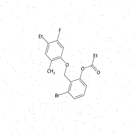 CCC(=O)Oc1cccc(Br)c1COc1cc(F)c(CC)cc1C